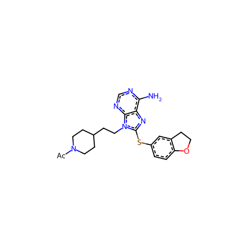 CC(=O)N1CCC(CCn2c(Sc3ccc4c(c3)CCO4)nc3c(N)ncnc32)CC1